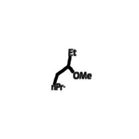 CC[CH]CC(CC)OC